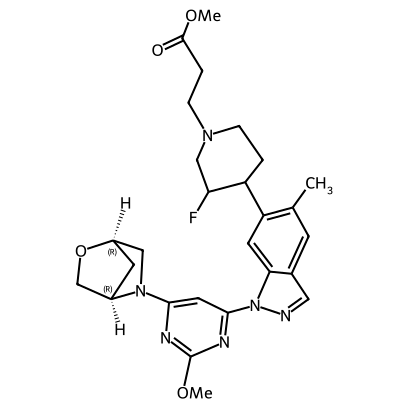 COC(=O)CCN1CCC(c2cc3c(cnn3-c3cc(N4C[C@H]5C[C@@H]4CO5)nc(OC)n3)cc2C)C(F)C1